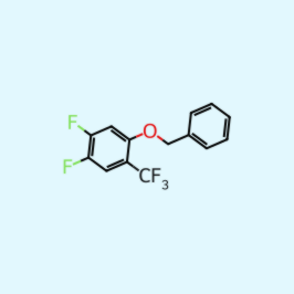 Fc1cc(OCc2ccccc2)c(C(F)(F)F)cc1F